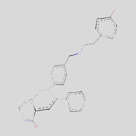 O=c1[nH]ccc2nc(-c3ccc(CNCCc4ccc(O)cc4)cc3)c(-c3ccccc3)cc12